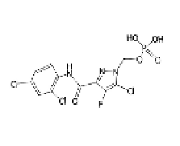 O=C(Nc1ccc(Cl)cc1Cl)c1nn(COP(=O)(O)O)c(Cl)c1F